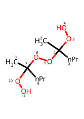 CCCC(C)(OO)OOC(C)(CCC)OO